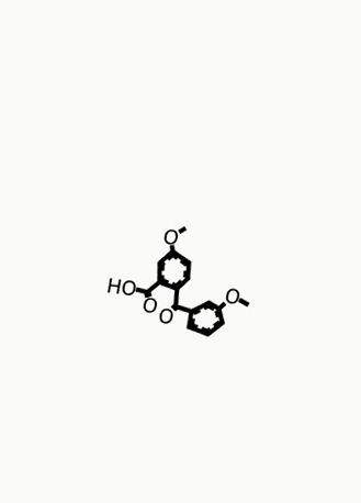 COc1cccc(C(=O)c2ccc(OC)cc2C(=O)O)c1